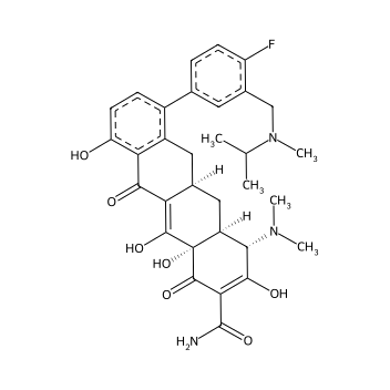 CC(C)N(C)Cc1cc(-c2ccc(O)c3c2C[C@H]2C[C@H]4[C@H](N(C)C)C(O)=C(C(N)=O)C(=O)[C@@]4(O)C(O)=C2C3=O)ccc1F